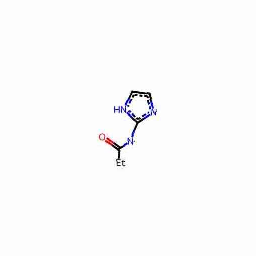 CCC(=O)[N]c1ncc[nH]1